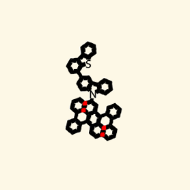 c1ccc(-c2ccccc2-c2c3ccccc3c(-c3ccccc3-c3ccccc3)c3cc(-n4c5ccccc5c5cc(-c6cccc7c6sc6ccccc67)ccc54)ccc23)cc1